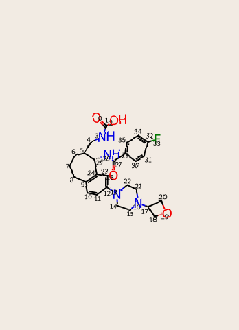 O=C(O)NC[C@@H]1CCCc2ccc(N3CCN(C4COC4)CC3)cc2[C@H]1NC(=O)c1ccc(F)cc1